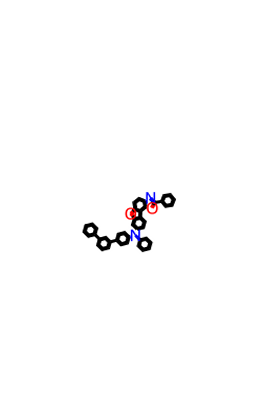 c1ccc(-c2cccc(-c3ccc(N(c4ccccc4)c4ccc5c(c4)oc4ccc6nc(-c7ccccc7)oc6c45)cc3)c2)cc1